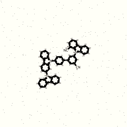 N#Cc1cc(-c2ccc(-n3c4ccccc4c4ccc(-n5c6ccccc6c6ccccc65)cc43)cc2)cc(-n2c3ccccc3c3cccc(C#N)c32)c1